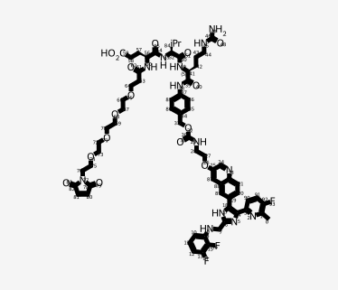 Cc1nc(-c2nc(CNc3cccc(F)c3F)[nH]c2-c2ccc3ncc(OCCNC(=O)OCc4ccc(NC(=O)[C@H](CCCNC(N)=O)NC(=O)[C@@H](NC(=O)[C@H](CCC(=O)O)NC(=O)CCOCCOCCOCCOCCN5C(=O)C=CC5=O)C(C)C)cc4)cc3c2)ccc1F